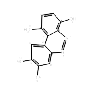 Cc1ccc(O)c2nnc3cc(C#N)c(C#N)cc3c12